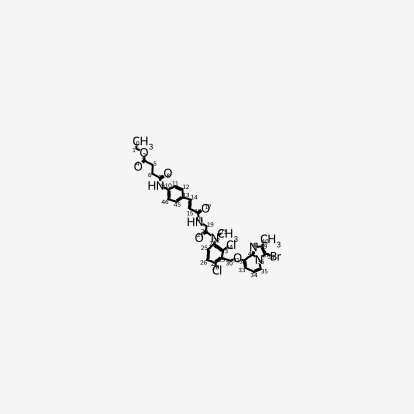 CCOC(=O)CCC(=O)Nc1ccc(C=CC(=O)NCC(=O)N(C)c2ccc(Cl)c(COc3cccn4c(Br)c(C)nc34)c2Cl)cc1